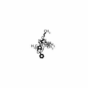 C=C1[C@@H]2COC(c3ccccc3)O[C@H]2C[C@@H]1n1cnc2c(OCCCC)nc(N[Si](C)(C)C)nc21